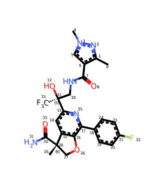 Cc1nn(C)cc1C(=O)NC[C@](O)(c1cc2c(c(-c3ccc(F)cc3)n1)OC[C@]2(C)C(N)=O)C(F)(F)F